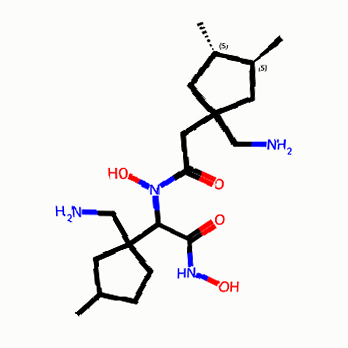 CC1CCC(CN)(C(C(=O)NO)N(O)C(=O)CC2(CN)C[C@H](C)[C@@H](C)C2)C1